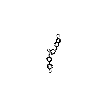 O=C1CN(Cc2cc3ccc(Cl)cc3cn2)CCN1Cc1ccc(-c2ccc(=O)[nH]c2)cc1